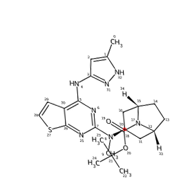 Cc1cc(Nc2nc(N(C)[C@@H]3C[C@H]4CC[C@@H](C3)N4C(=O)OC(C)(C)C)nc3sccc23)n[nH]1